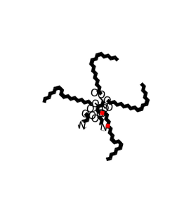 CCCCC/C=C\C/C=C\CCCCCCCC(=O)OC[C@@H](OC(=O)CCCCCCC/C=C\C/C=C\CCCCC)[C@@H](OC(=O)CCCCCCC/C=C\C/C=C\CCCCC)[C@H](OC(=O)CCCCCCC/C=C\C/C=C\CCCCC)[C@@H](COC(=O)CCN(C)C)OC(=O)CCN(C)C